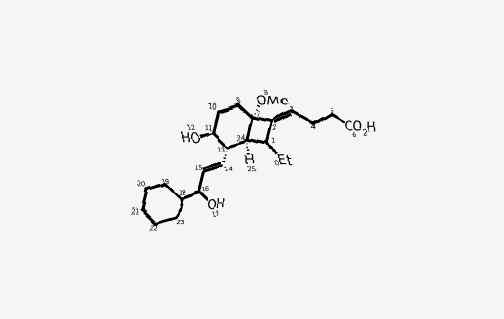 CCC1C(=CCCC(=O)O)[C@]2(OC)CC[C@H](O)[C@@H](/C=C/C(O)C3CCCCC3)[C@H]12